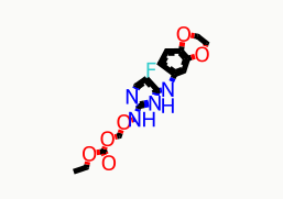 CCOC(=O)OCONc1ncc(F)c(Nc2ccc3c(c2)OCCO3)n1